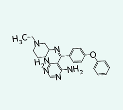 CCN1CCCC(/N=C(/c2ccc(Oc3ccccc3)cc2)c2c(N)ncnc2N)C1